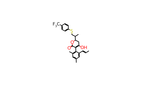 C/C=C/c1cc(C)cc(C)c1C1=C(O)CC(C(C)CSc2ccc(C(F)(F)F)cc2)OC1=O